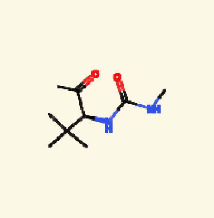 CNC(=O)N[C@H](C(C)=O)C(C)(C)C